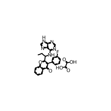 CCC(Nc1ncnc2[nH]cnc12)c1oc2ccccc2c(=O)c1-c1cccc(F)c1.O=C(O)C(=O)O